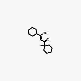 CC1(C(=O)/C=C(\O)C2CCCCC2)CCCCC1